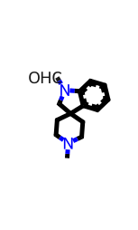 CN1CCC2(CC1)CN(C=O)c1ccccc12